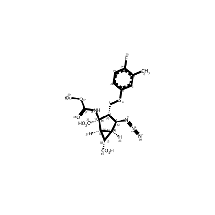 Cc1cc(SC[C@@H]2[C@@H](N=[N+]=[N-])[C@H]3[C@H](C(=O)O)[C@H]3[C@]2(NC(=O)OC(C)(C)C)C(=O)O)ccc1F